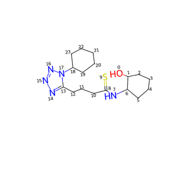 OC1CCCCC1NC(=S)CCCc1nnnn1C1CCCCC1